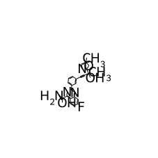 Cc1cnc([C@@](C)(O)C#Cc2cccc(-c3nc(C(N)O)c4ccc(F)cc4n3)c2)o1